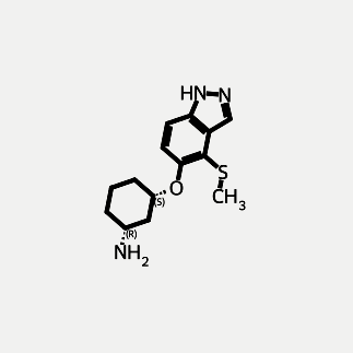 CSc1c(O[C@H]2CCC[C@@H](N)C2)ccc2[nH]ncc12